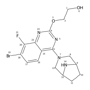 OCCOc1nc(N2CC3CCC(C2)N3)c2ccc(Br)c(F)c2n1